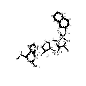 CNc1nc(N)nc2c1ncn2[C@@H]1O[C@H](COP(=O)(NC(C)C(=O)O)Oc2ccc3ncccc3c2)[C@@H](O)[C@@]1(C)O